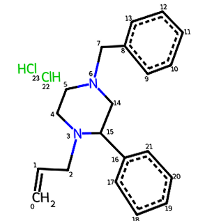 C=CCN1CCN(Cc2ccccc2)CC1c1ccccc1.Cl.Cl